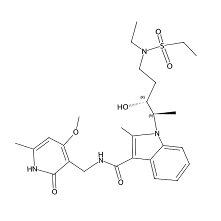 CCN(CC[C@@H](O)[C@@H](C)n1c(C)c(C(=O)NCc2c(OC)cc(C)[nH]c2=O)c2ccccc21)S(=O)(=O)CC